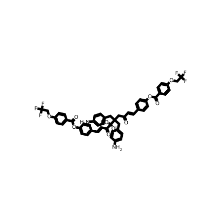 Nc1ccc(CC(CC(=O)C=Cc2ccc(OC(=O)c3ccc(OCC(F)(F)F)cc3)cc2)(Cc2ccc(N)cc2)C(O)(O)C(=O)C=Cc2ccc(OC(=O)c3ccc(OCC(F)(F)F)cc3)cc2)cc1